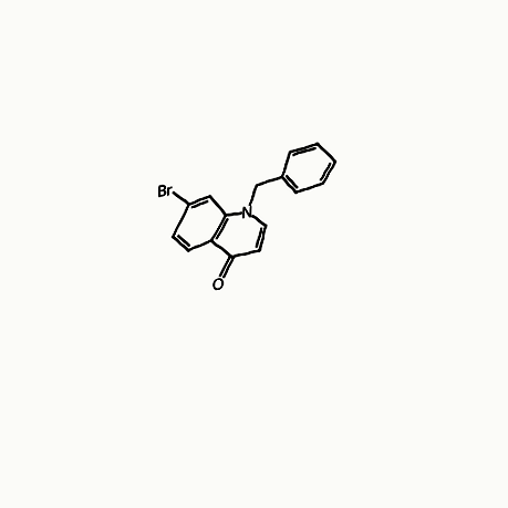 O=c1ccn(Cc2ccccc2)c2cc(Br)ccc12